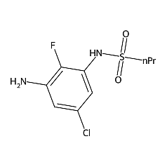 CCCS(=O)(=O)Nc1cc(Cl)cc(N)c1F